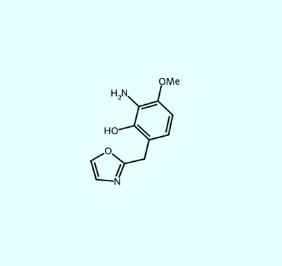 COc1ccc(Cc2ncco2)c(O)c1N